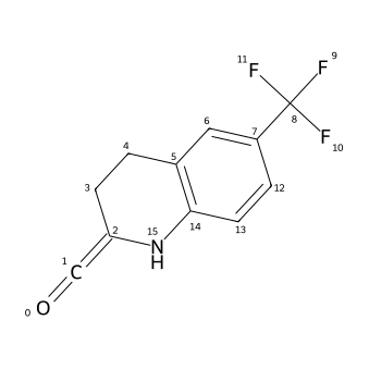 O=C=C1CCc2cc(C(F)(F)F)ccc2N1